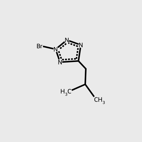 CC(C)Cc1nnn(Br)n1